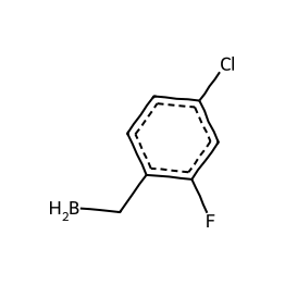 BCc1ccc(Cl)cc1F